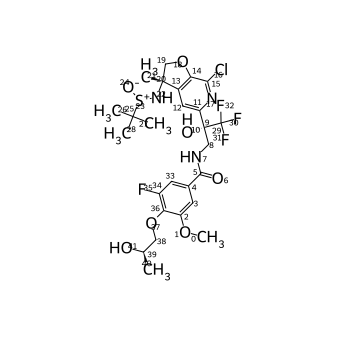 COc1cc(C(=O)NC[C@@](O)(c2cc3c(c(Cl)n2)OC[C@@]3(C)N[S+]([O-])C(C)(C)C)C(F)(F)F)cc(F)c1OC[C@@H](C)O